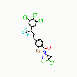 O=C(NC1CC1(Cl)Cl)c1ccc(/C=C/C(c2cc(Cl)c(Cl)c(Cl)c2)C(F)(F)F)cc1Br